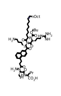 CCCCCCCC/C=C\CCCCCCCC(=O)N(C(=O)[C@H](CCCNC(=N)N)NC(=O)OC(C)(C)C)[C@@H](CCCCN)C(=O)c1ccc2c(CCC(=O)N(N)[C@@H](CC(C)C)C(=O)N[C@H](C(=O)O)C(C)C)cccc2c1